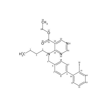 CCCCN(Cc1ccc(-c2ccccc2I)cc1)c1ncncc1C(=O)OCC